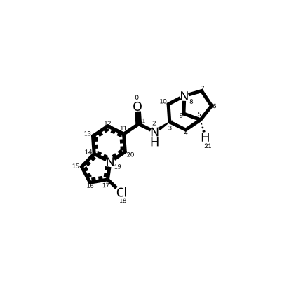 O=C(N[C@@H]1C[C@@H]2CCN(C2)C1)c1ccc2ccc(Cl)n2c1